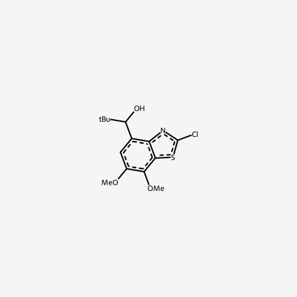 COc1cc(C(O)C(C)(C)C)c2nc(Cl)sc2c1OC